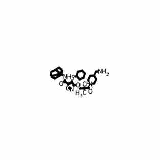 CC(C)(COc1noc(C(=O)NC2C3CC4CC(C3)CC2C4)c1SC1CCCCC1)C(=O)N1CCC(CN)CC1